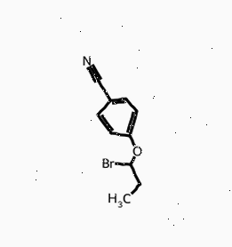 CCC(Br)Oc1ccc(C#N)cc1